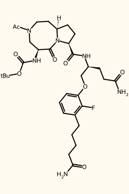 CC(=O)N1CC[C@H]2CC[C@@H](C(=O)N[C@@H](CCC(N)=O)COc3cccc(CCCCC(N)=O)c3F)N2C(=O)[C@@H](NC(=O)OC(C)(C)C)C1